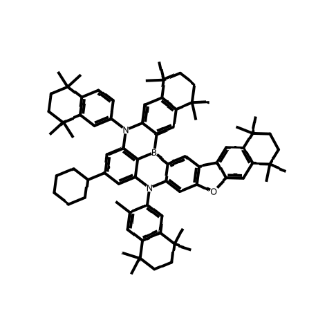 Cc1cc2c(cc1N1c3cc4oc5cc6c(cc5c4cc3B3c4cc5c(cc4N(c4ccc7c(c4)C(C)(C)CCC7(C)C)c4cc(C7CCCCC7)cc1c43)C(C)(C)CCC5(C)C)C(C)(C)CCC6(C)C)C(C)(C)CCC2(C)C